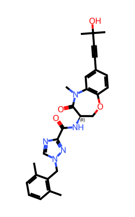 Cc1cccc(C)c1Cn1cnc(C(=O)N[C@@H]2COc3ccc(C#CC(C)(C)O)cc3N(C)C2=O)n1